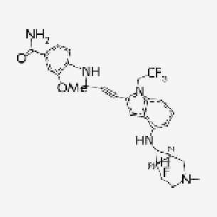 COc1cc(C(N)=O)ccc1NCC#Cc1cc2c(NC3[C@H]4CCN(C)C[C@]34F)cccc2n1CC(F)(F)F